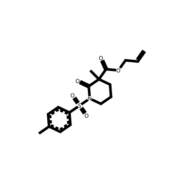 C=CCOC(=O)C1(C)CCCN(S(=O)(=O)c2ccc(C)cc2)C1=O